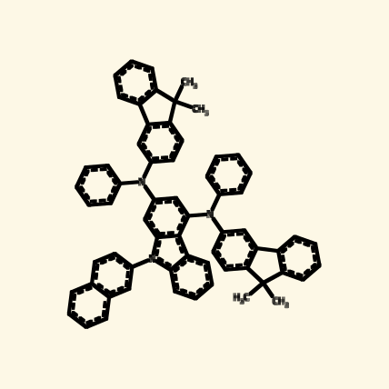 CC1(C)c2ccccc2-c2cc(N(c3ccccc3)c3cc(N(c4ccccc4)c4ccc5c(c4)-c4ccccc4C5(C)C)c4c5ccccc5n(-c5ccc6ccccc6c5)c4c3)ccc21